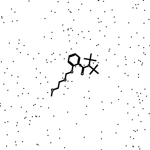 COCCOCOc1ccccc1C(=O)N(C(C)(C)C)C(C)(C)C